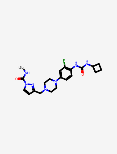 CC(C)(C)NC(=O)n1ccc(CN2CCN(c3ccc(NC(=O)NC4CCC4)c(F)c3)CC2)n1